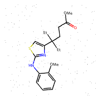 CCC(CC)(CCC(=O)OC)c1csc(Nc2ccccc2OC)n1